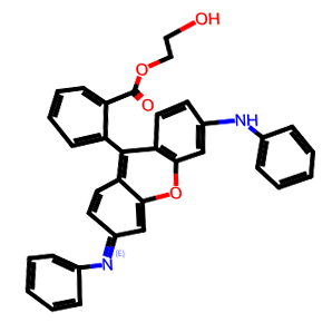 O=C(OCCO)c1ccccc1-c1c2cc/c(=N\c3ccccc3)cc-2oc2cc(Nc3ccccc3)ccc12